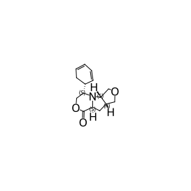 O=C1OC[C@H](C2C=CC=CC2)N2[C@@H]3COC[C@@H]3C[C@@H]12